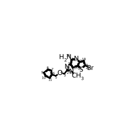 Cn1c(COCc2ccccc2)nc2c(N)nc3cc(Br)sc3c21